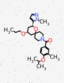 CCCO[C@H]1C[C@@H](c2ccnn2C)OC2(CCN(C(=O)c3ccc(OC(C)C)c(C)c3)CC2)C1